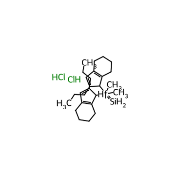 CCCC1=CC2=C(CCCC2)[CH]1[Hf]([CH3])([CH3])(=[SiH2])[CH]1C(CCC)=CC2=C1CCCC2.Cl.Cl